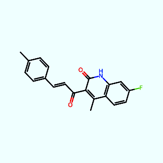 Cc1ccc(C=CC(=O)c2c(C)c3ccc(F)cc3[nH]c2=O)cc1